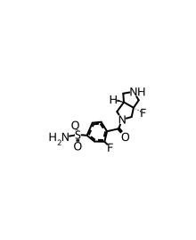 NS(=O)(=O)c1ccc(C(=O)N2C[C@@H]3CNC[C@@]3(F)C2)c(F)c1